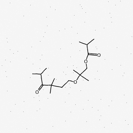 CC(C)C(=O)OCC(C)(C)OCCC(C)(C)C(=O)C(C)C